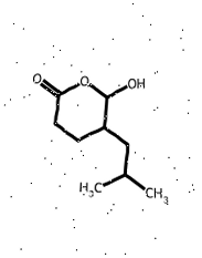 CC(C)CC1CCC(=O)OC1O